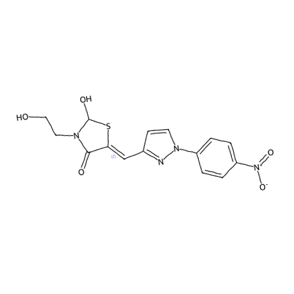 O=C1/C(=C/c2ccn(-c3ccc([N+](=O)[O-])cc3)n2)SC(O)N1CCO